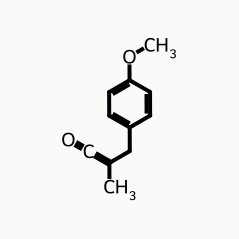 COc1ccc(CC(C)=C=O)cc1